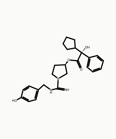 N=C(NCc1ccc(O)cc1)N1CC[C@@H](OC(=O)[C@](O)(c2ccccc2)C2CCCC2)C1